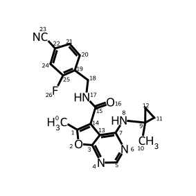 Cc1oc2ncnc(NC3(C)CC3)c2c1C(=O)NCc1ccc(C#N)cc1F